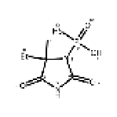 CCC1(C)C(=O)NC(=O)N1P(=O)(O)S